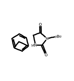 CCCCN1C(=O)CNC1=O.c1cc2cc(c1)C2